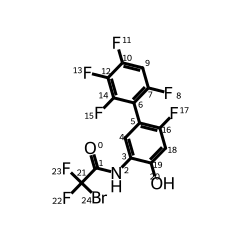 O=C(Nc1cc(-c2c(F)cc(F)c(F)c2F)c(F)cc1O)C(F)(F)Br